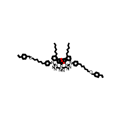 C=Cc1ccc(COCCCCCCc2ccc(N(c3ccc(CCCCCC)cc3)c3nnc(-c4nnc(-c5nnc(N(c6ccc(CCCCCC)cc6)c6ccc(CCCCCCOCc7ccc(C=C)cc7)cc6)n5-c5ccccc5)n4-c4ccccc4)n3-c3ccccc3)cc2)cc1